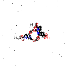 COC(=O)c1cccc(CN2CCOCCOCCN(C(c3ccc(C(=O)O)cc3)c3cccc(C(=O)OC)n3)CCOCCOCC2)n1